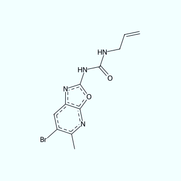 C=CCNC(=O)Nc1nc2cc(Br)c(C)nc2o1